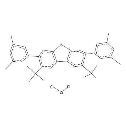 Cc1cc(C)cc(-c2cc3c(cc2C(C)(C)C)-c2cc(C(C)(C)C)c(-c4cc(C)cc(C)c4)cc2[CH]3)c1.[Cl][Zr][Cl]